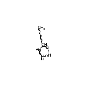 C1CNCCNCNCCNC1.CCCCCCCCC